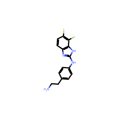 NCCc1ccc(Nc2nc3ccc(F)c(F)c3[nH]2)cc1